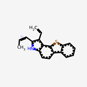 C=Cc1c(/C=C\C)[nH]c2ccc3c4ccccc4sc3c12